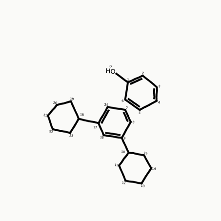 Oc1ccccc1.c1cc(C2CCCCC2)cc(C2CCCCC2)c1